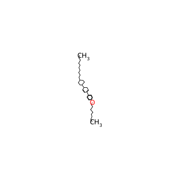 CCCCCCCCCCC1CCC(C2C=CC(c3ccc(OCCCCCCCC)cc3)=CC2)CC1